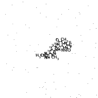 COc1cc(C(C)C(=O)N2CC[C@@]3(CCc4cc(-c5nnn(C)n5)c(C)nc4N3)C2)nc(C(F)F)n1